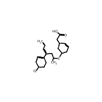 C=C/C=C(\CC(C)SC1CC=CC(CC(=O)O)C1)C1=CCC(Cl)CC1